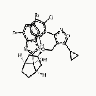 O[C@]1(c2nc3c(F)cc(Br)cc3s2)[C@@H]2CC[C@H]1C[C@@H](OCc1c(-c3c(Cl)cccc3Cl)noc1C1CC1)C2